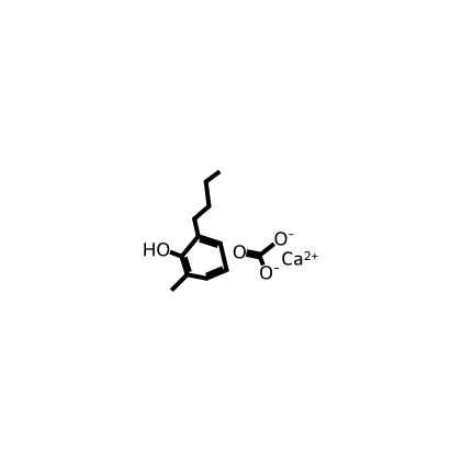 CCCCc1cccc(C)c1O.O=C([O-])[O-].[Ca+2]